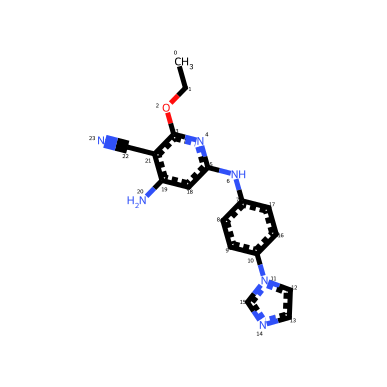 CCOc1nc(Nc2ccc(-n3ccnc3)cc2)cc(N)c1C#N